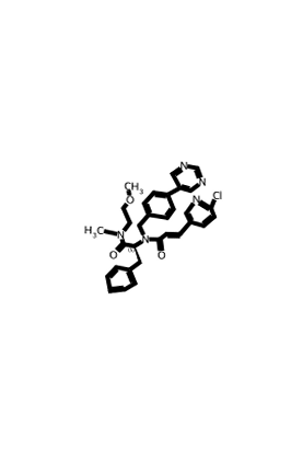 COCCN(C)C(=O)[C@H](Cc1ccccc1)N(Cc1ccc(-c2cncnc2)cc1)C(=O)C=Cc1ccc(Cl)nc1